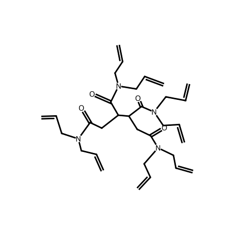 C=CCN(CC=C)C(=O)CC(C(=O)N(CC=C)CC=C)C(CC(=O)N(CC=C)CC=C)C(=O)N(CC=C)CC=C